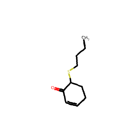 CCCCSC1CCC=CC1=O